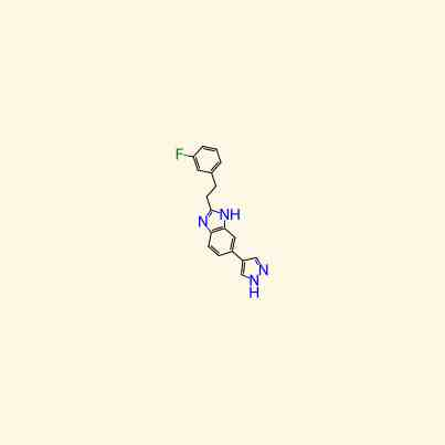 Fc1cccc(CCc2nc3ccc(-c4cn[nH]c4)cc3[nH]2)c1